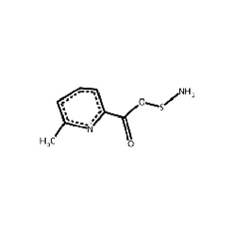 Cc1cccc(C(=O)OSN)n1